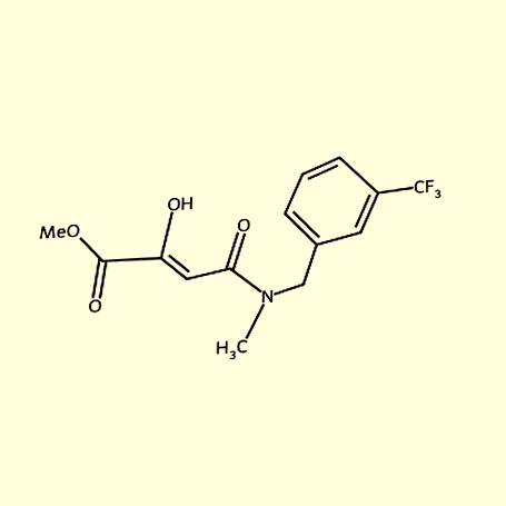 COC(=O)/C(O)=C/C(=O)N(C)Cc1cccc(C(F)(F)F)c1